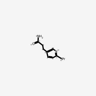 CC(C)c1ccc(CCC(N)=O)cn1